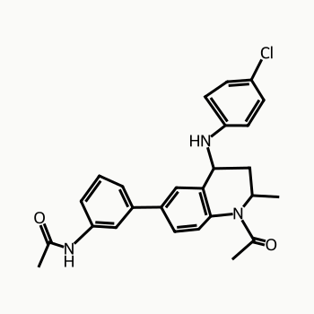 CC(=O)Nc1cccc(-c2ccc3c(c2)C(Nc2ccc(Cl)cc2)CC(C)N3C(C)=O)c1